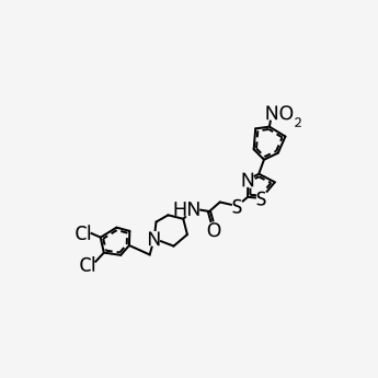 O=C(CSc1nc(-c2ccc([N+](=O)[O-])cc2)cs1)NC1CCN(Cc2ccc(Cl)c(Cl)c2)CC1